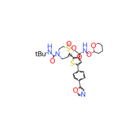 CC(C)(C)NC(=O)N1CC[C@](CC(=O)NOC2CCCCO2)(c2ccc(-c3ccc(-c4cnco4)cc3)s2)S(=O)(=O)CC1